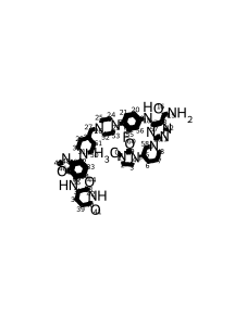 CN1CCN([C@@H]2CCCN(c3nnc(C(N)=O)c(Nc4ccc(N5CCN(CC6CCN(c7ccc(NC8CCC(=O)NC8=O)c8ocnc78)CC6)CC5)c(F)c4)n3)C2)C1=O